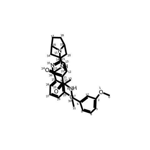 COc1cccc(CNC(=O)c2ccc(N3C4CCC3CC(NC(=O)c3cccc(OC)c3C)C4)nc2)c1